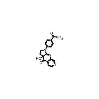 NC(=O)c1ccc(N2CCC3(O)C(=O)c4ccncc4N=C23)cc1